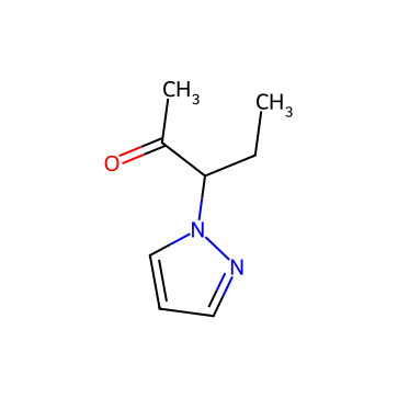 CCC(C(C)=O)n1cccn1